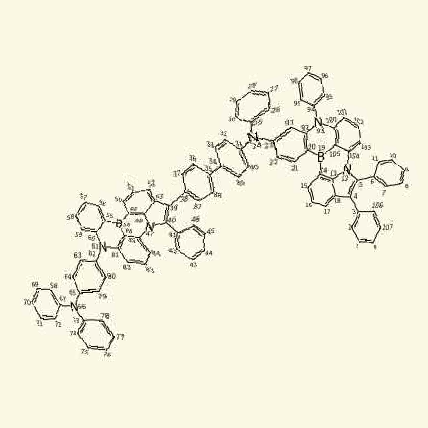 c1ccc(-c2c(-c3ccccc3)n3c4c(cccc24)B2c4ccc(N(c5ccccc5)c5ccc(-c6ccc(-c7c(-c8ccccc8)n8c9c(cccc79)B7c9ccccc9N(c9ccc(N(c%10ccccc%10)c%10ccccc%10)cc9)c9cccc-8c97)cc6)cc5)cc4N(c4ccccc4)c4cccc-3c42)cc1